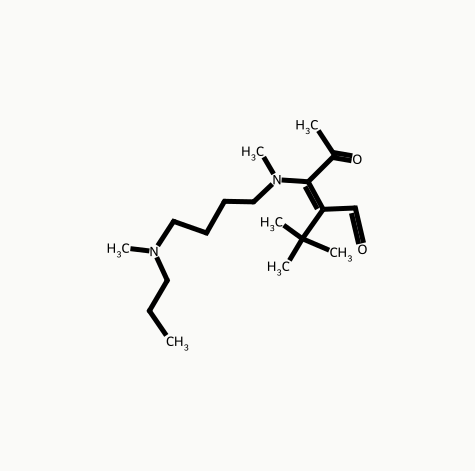 CCCN(C)CCCCN(C)/C(C(C)=O)=C(/C=O)C(C)(C)C